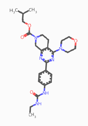 CCNC(=O)Nc1ccc(-c2nc3c(c(N4CCOCC4)n2)CCN(C(=O)OCC(C)C)C3)cc1